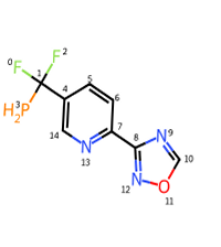 FC(F)(P)c1ccc(-c2ncon2)nc1